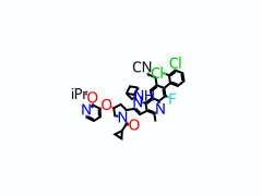 Cc1nc2c(F)c(-c3cccc(Cl)c3Cl)c(CCC#N)cc2c2c1cc(C1CC(Oc3cccnc3OC(C)C)CN1C(=O)C1CC1)n2C1C2CNC1C2